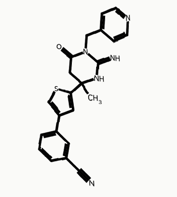 CC1(c2cc(-c3cccc(C#N)c3)cs2)CC(=O)N(Cc2ccncc2)C(=N)N1